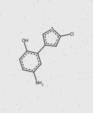 Nc1ccc(O)c(-c2csc(Cl)c2)c1